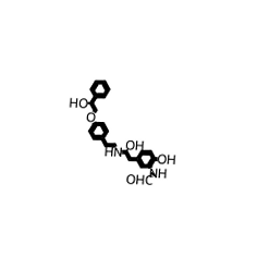 O=CNc1cc(C[C@@H](O)NCCc2ccc(OC[C@@H](O)c3ccccc3)cc2)ccc1O